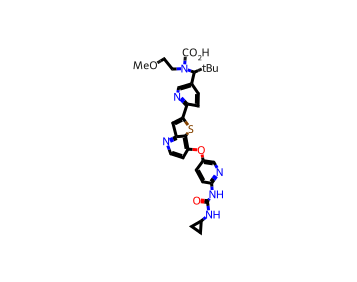 COCCN(C(=O)O)C(c1ccc(-c2cc3nccc(Oc4ccc(NC(=O)NC5CC5)nc4)c3s2)nc1)C(C)(C)C